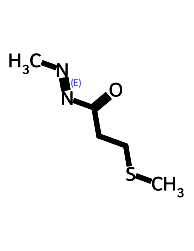 C/N=N/C(=O)CCSC